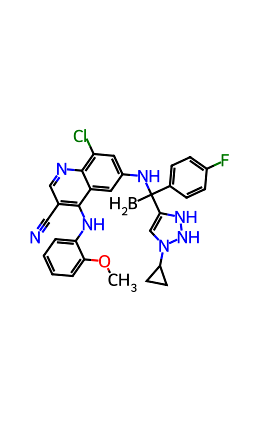 BC(Nc1cc(Cl)c2ncc(C#N)c(Nc3ccccc3OC)c2c1)(C1=CN(C2CC2)NN1)c1ccc(F)cc1